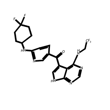 O=C(c1ccc(NC2CCC(F)(F)CC2)nc1)c1c[nH]c2ncnc(NCC(F)(F)F)c12